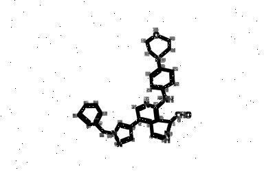 O=CC1NC=Cc2c(-c3cnn(Cc4ccccc4)c3)cnc(Nc3ccc(N4CCOCC4)cc3)c21